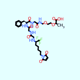 CC(OCCOCNC(=O)CNC(=O)[C@H](Cc1ccccc1)NC(=O)CNC(=O)CNC(CCCCCN1C(=O)C=CC1=O)C(F)(F)F)C(=O)O